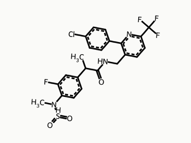 CC(C(=O)NCc1ccc(C(F)(F)F)nc1-c1ccc(Cl)cc1)c1ccc(N(C)[SH](=O)=O)c(F)c1